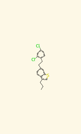 CCCc1csc2cc(CCc3ccc(Cl)cc3Cl)ccc12